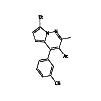 CCc1ccc2c(-c3cccc(C#N)c3)c(C(C)=O)c(C)nn12